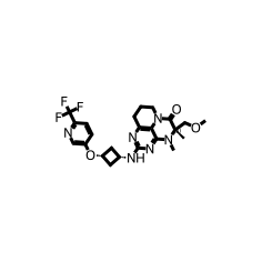 COC[C@@]1(C)C(=O)N2CCCc3nc(N[C@H]4C[C@@H](Oc5ccc(C(F)(F)F)nc5)C4)nc(c32)N1C